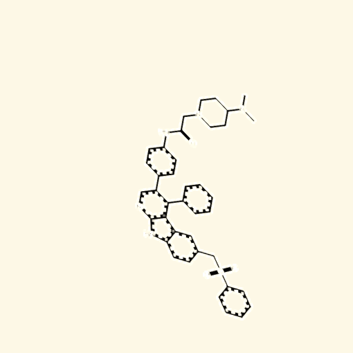 CN(C)C1CCN(CC(=O)Nc2ccc(-c3cnc4[nH]c5ccc(CS(=O)(=O)c6ccccc6)cc5c4c3-c3ccccc3)cc2)CC1